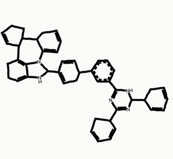 C1=CCC(C2=NC(C3C=CC=CC3)NC(c3cccc(C4C=CC(C5NC6=CCCC7=C6N5C5=CC=CCC5C5CCC=CC75)=CC4)c3)=N2)C=C1